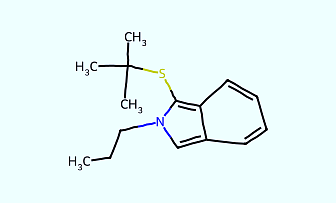 CCCn1cc2ccccc2c1SC(C)(C)C